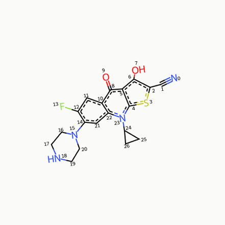 N#Cc1sc2c(c1O)c(=O)c1cc(F)c(N3CCNCC3)cc1n2C1CC1